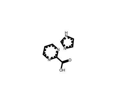 O=C(O)c1ncccn1.c1c[nH]cn1